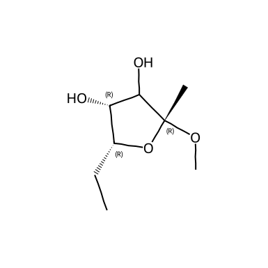 CC[C@H]1O[C@@](C)(OC)C(O)[C@H]1O